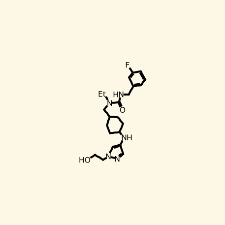 CCN(CC1CCC(Nc2cnn(CCO)c2)CC1)C(=O)NCc1cccc(F)c1